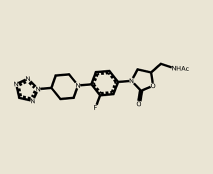 CC(=O)NCC1CN(c2ccc(N3CCC(n4ncnn4)CC3)c(F)c2)C(=O)O1